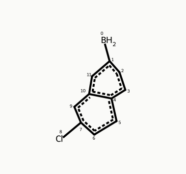 Bc1ccc2ccc(Cl)cc2c1